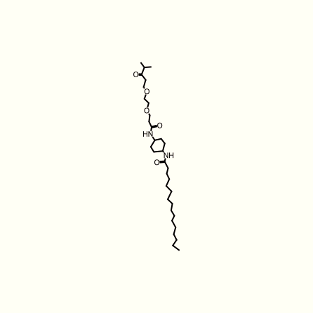 CCCCCCCCCCCCCCCC(=O)NC1CCC(NC(=O)CCOCCOCCC(=O)C(C)C)CC1